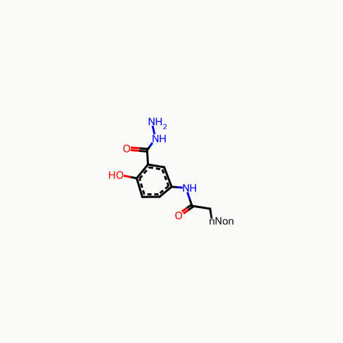 CCCCCCCCCCC(=O)Nc1ccc(O)c(C(=O)NN)c1